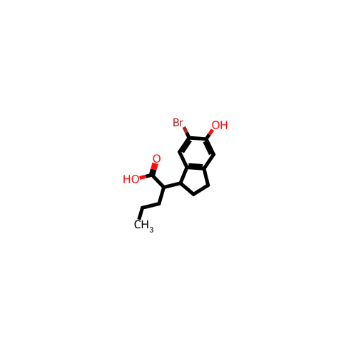 CCCC(C(=O)O)C1CCc2cc(O)c(Br)cc21